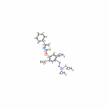 CCN(C)CCc1cc(C)c(Oc2nc(-c3ccccc3)cs2)cc1C